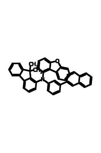 CC1(C)c2ccccc2-c2cccc(N(c3cccc(-c4ccc5ccccc5c4)c3)c3cccc4oc5ccccc5c34)c21